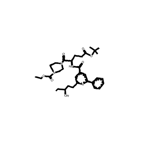 CCOC(=O)N1CCN(C(=O)C(CCC(=O)OC(C)(C)C)NC(=O)c2cc(CCC(O)CC)nc(-c3ccccc3)c2)CC1